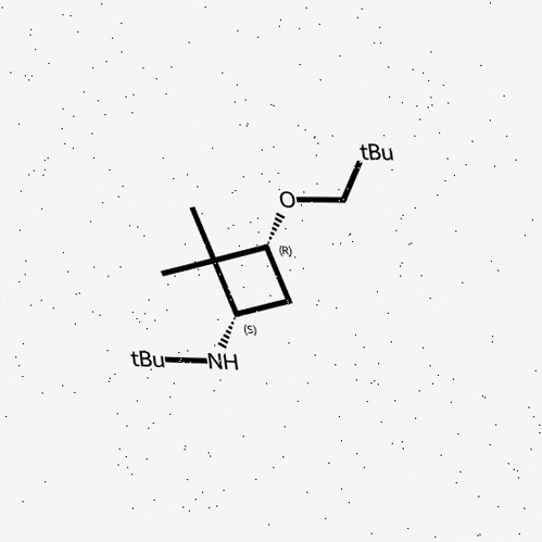 CC(C)(C)CO[C@@H]1C[C@H](NC(C)(C)C)C1(C)C